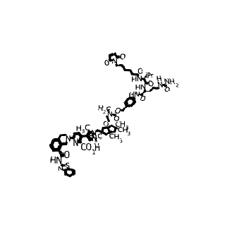 Cc1c(-c2ccc(N3CCc4cccc(C(=O)Nc5nc6ccccc6s5)c4C3)nc2C(=O)O)cnn1CC1(C)CC2(C)CC(C)(C)CC2(OCCN(C)C(=O)OCc2ccc(NC(=O)[C@H](CCCNC(N)=O)NC(=O)[C@@H](NC(=O)CCCCCN3C(=O)C=CC3=O)C(C)C)cc2)C1